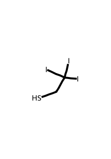 SCC(I)(I)I